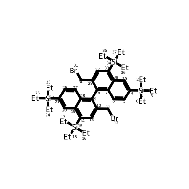 CC[Si](CC)(CC)c1ccc2c(-c3c(CBr)cc([Si](CC)(CC)CC)c4cc([Si](CC)(CC)CC)ccc34)c(CBr)cc([Si](CC)(CC)CC)c2c1